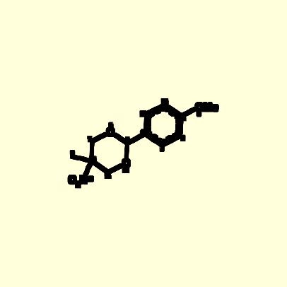 COc1ccc(C2OCC(C)([N+](=O)[O-])CO2)cc1